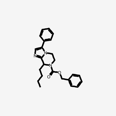 CCCCC1c2ncc(-c3ccccc3)n2CCN1C(=O)OCc1ccccc1